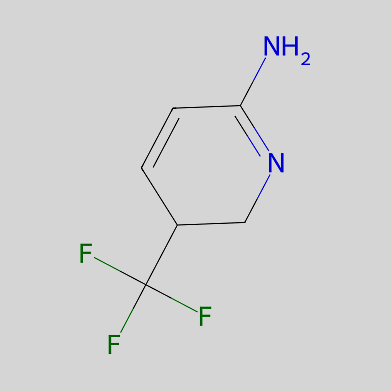 NC1=NCC(C(F)(F)F)C=C1